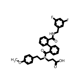 COc1ccc(CCN(CCC(=O)O)C(=O)c2ccccc2-c2ccccc2C(=O)NCc2cc(F)cc(F)c2)cc1